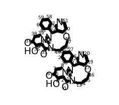 O=C1c2c(O)c(=O)ccn2N2CN1CC=CCOc1ccncc1C2c1ccccc1.O=C1c2c(O)c(=O)ccn2N2CN1CC=CCOc1ccncc1C2c1ccccc1